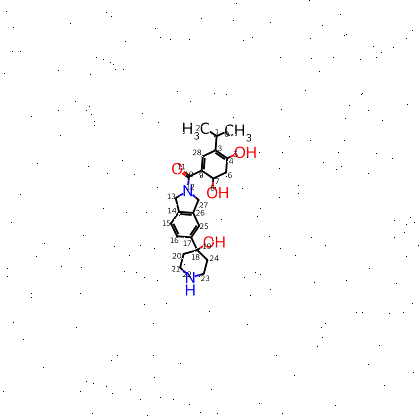 CC(C)C1=C(O)CC(O)C(C(=O)N2Cc3ccc(C4(O)CCNCC4)cc3C2)=C1